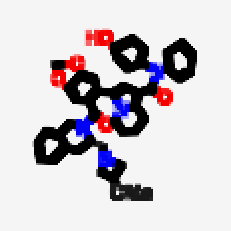 COC1CN(C[C@@H]2Cc3ccccc3CN2C(=O)c2cc3c(cc2-c2cc(C(=O)N(c4ccccc4)c4ccc(O)cc4)c4n2CCCC4)OCO3)C1